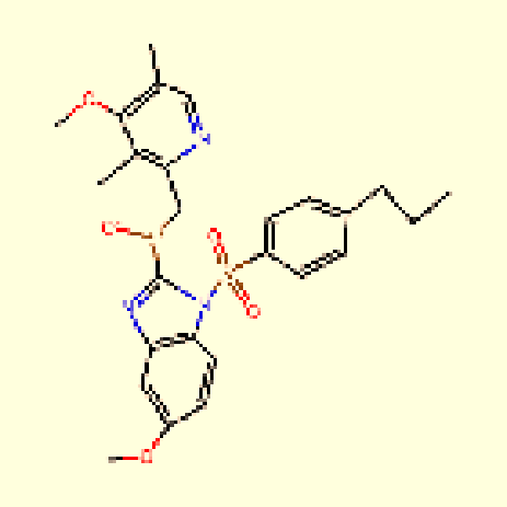 CCCc1ccc(S(=O)(=O)n2c([S+]([O-])Cc3ncc(C)c(OC)c3C)nc3cc(OC)ccc32)cc1